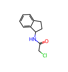 O=C(CCl)NC1CCc2ccccc21